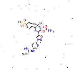 CNC(=N)Nc1ccc(-c2cc(C3=C(OC(N)=O)NC(C(C)(C)C)(C(C)(C)C)C(c4ccc(S(=O)(=O)C(C)C)cc4)=N3)on2)nc1